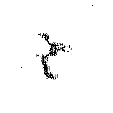 CCCN(CCC)CCCC[C@H](NC(=O)[C@@H](NC(=O)CCCC#Cc1cnc(S(C)(=O)=O)nc1)C(C)CC)C(=O)NCC(=O)NCOCC(=O)N(C)CCOc1ccc(NC(=O)NCc2ccc3c(c2)CN(C2CCC(=O)NC2=O)C3=O)cc1Cl